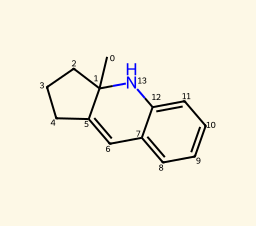 CC12CCCC1=Cc1ccccc1N2